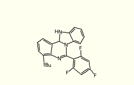 CC(C)(C)c1cccc2c1N=C(c1c(F)cc(F)cc1F)N1c3ccccc3NC21